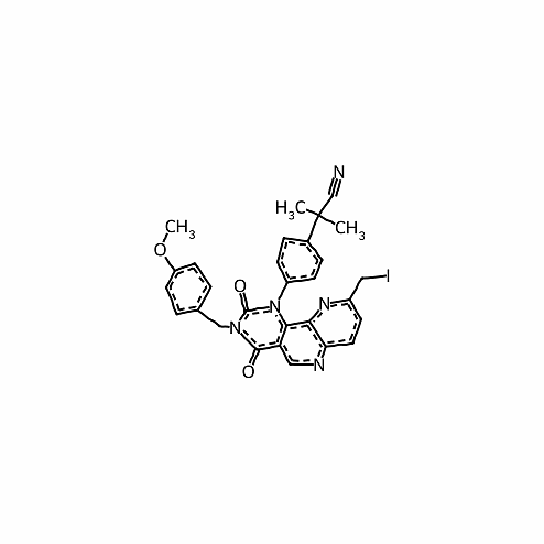 COc1ccc(Cn2c(=O)c3cnc4ccc(CI)nc4c3n(-c3ccc(C(C)(C)C#N)cc3)c2=O)cc1